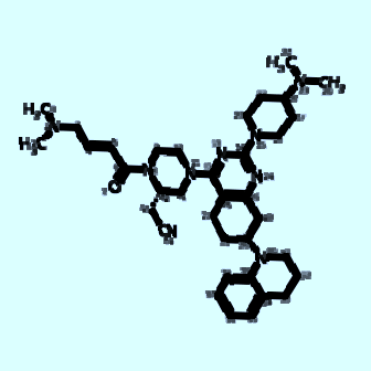 CN(C)C/C=C/C(=O)N1CCN(c2nc(N3CCC(N(C)C)CC3)nc3c2CC[C@H](N2CCCc4ccccc42)C3)C[C@@H]1CC#N